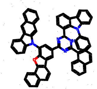 c1ccc(-n2c3ccccc3c3cccc(C4N=C(c5cc(-n6c7ccccc7c7cc8ccccc8cc76)c6oc7c8ccccc8ccc7c6c5)N=C(c5cccc6ccccc56)N4)c32)cc1